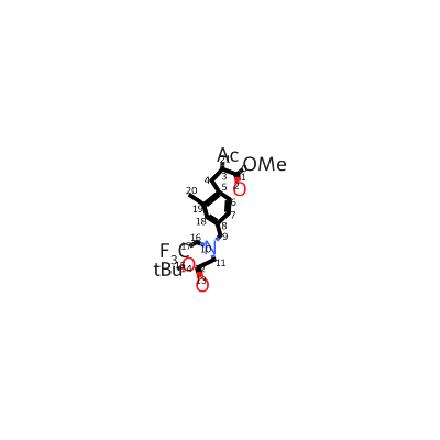 COC(=O)C(Cc1ccc(CN(CC(=O)OC(C)(C)C)CC(F)(F)F)cc1C)C(C)=O